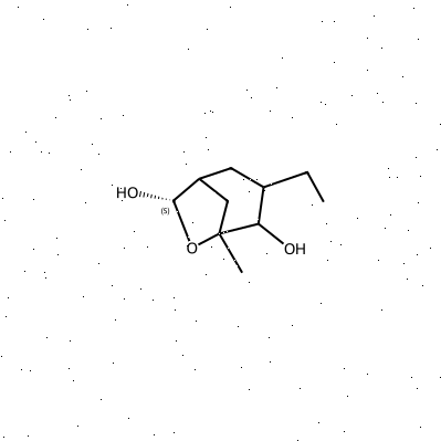 CCC1CC2CC(C)(O[C@@H]2O)C1O